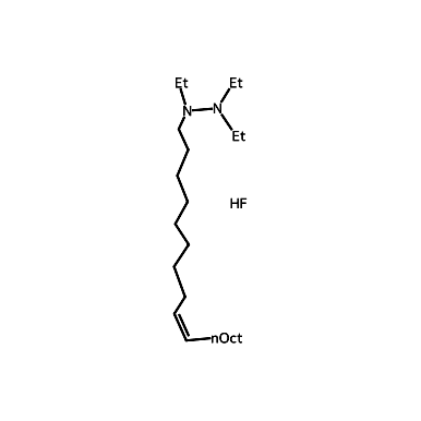 CCCCCCCC/C=C\CCCCCCCCN(CC)N(CC)CC.F